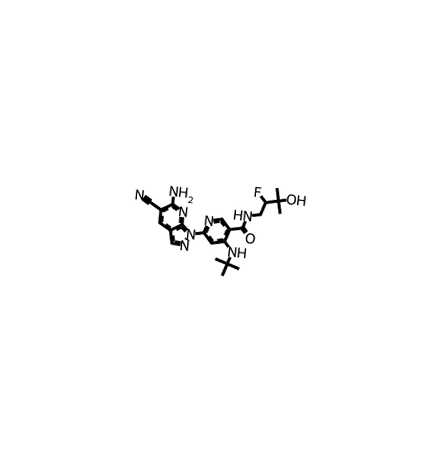 CC(C)(C)Nc1cc(-n2ncc3cc(C#N)c(N)nc32)ncc1C(=O)NCC(F)C(C)(C)O